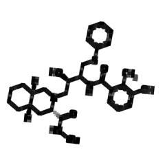 Cc1c(O)cccc1C(=O)NC(CSc1ccccc1)[C@H](O)CN1C[C@H]2CCCC[C@H]2C[C@H]1C(=O)NC(C)(C)C